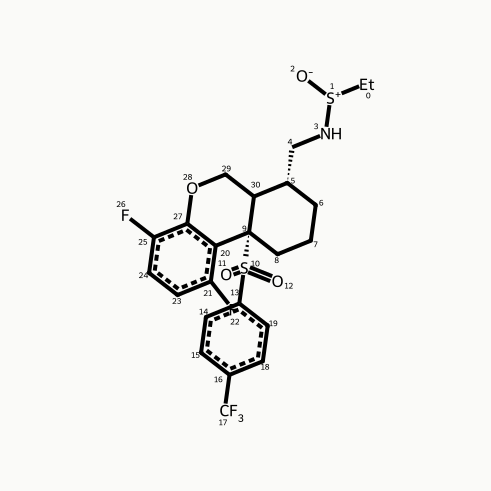 CC[S+]([O-])NC[C@@H]1CCC[C@@]2(S(=O)(=O)c3ccc(C(F)(F)F)cc3)c3c(F)ccc(F)c3OCC12